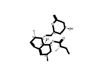 C=C1C[C@H](O)C[C@@H](CC[C@@H]2[C@@H]3C(=C[C@H](C)C[C@@H]3OC(=O)[C@@H](C)CC)C=C[C@@H]2C)O1